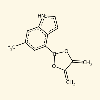 C=C1OB(c2cc(C(F)(F)F)cc3[nH]ccc23)OC1=C